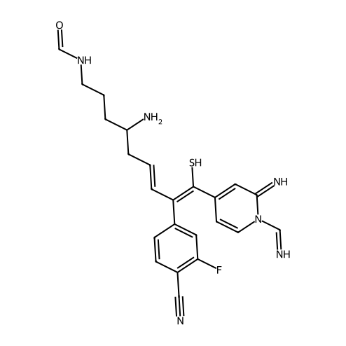 N#Cc1ccc(C(/C=C/CC(N)CCCNC=O)=C(/S)c2ccn(C=N)c(=N)c2)cc1F